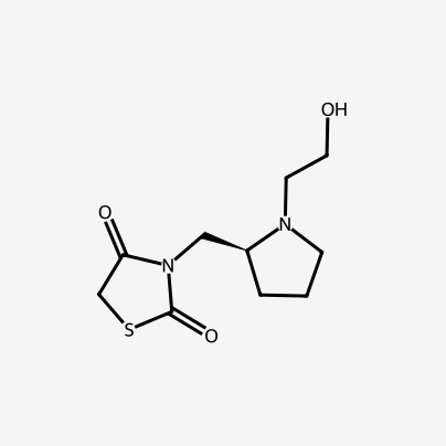 O=C1CSC(=O)N1C[C@@H]1CCCN1CCO